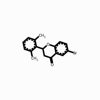 Cc1cccc(C)c1C1CC(=O)c2cc(Br)ccc2O1